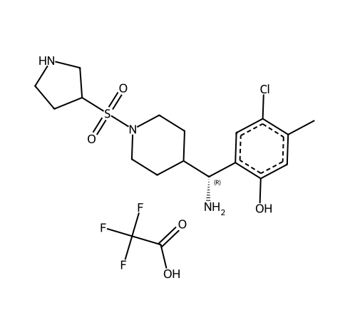 Cc1cc(O)c([C@H](N)C2CCN(S(=O)(=O)C3CCNC3)CC2)cc1Cl.O=C(O)C(F)(F)F